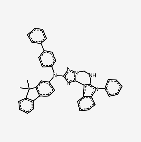 CC1(C)c2ccccc2-c2ccc(N(c3ccc(-c4ccccc4)cc3)c3nc4n(n3)CNc3c-4c4ccccc4n3-c3ccccc3)cc21